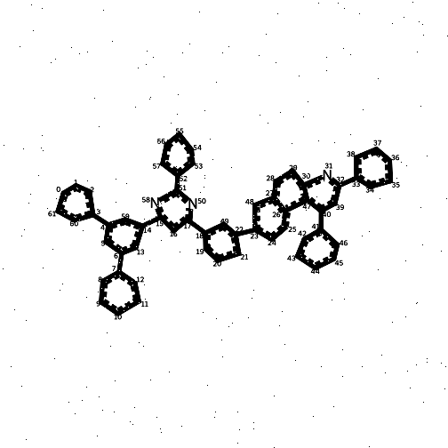 c1ccc(-c2cc(-c3ccccc3)cc(-c3cc(-c4cccc(-c5ccc6c(ccc7nc(-c8ccccc8)cc(-c8ccccc8)c76)c5)c4)nc(-c4ccccc4)n3)c2)cc1